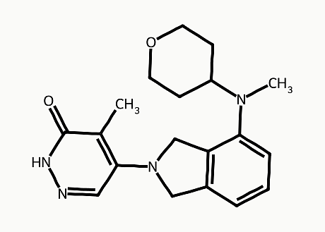 Cc1c(N2Cc3cccc(N(C)C4CCOCC4)c3C2)cn[nH]c1=O